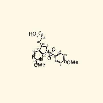 COc1ccc(S(=O)(=O)N2CC(CCC(=O)O)c3cnc(OC)nc32)cc1